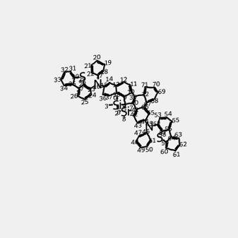 C[Si](C)(C)C1([Si](C)(C)C)c2c(ccc3cc(N(c4ccccc4)c4cccc5c4sc4ccccc45)ccc23)-c2c1c1ccc(N(c3ccccc3)c3cccc4c3sc3ccccc34)cc1c1ccccc21